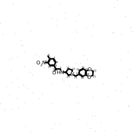 Cc1ccc(C(=O)CNC2CCN(Cc3ccc4c(c3)OCCO4)C2)cc1[N+](=O)[O-]